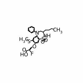 CCCCC1CN(c2ccccc2)c2cc(SC)c(O/C=C(\F)C(=O)O)cc2S(=O)(=O)N1